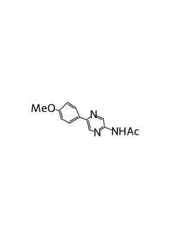 COc1ccc(-c2cnc(NC(C)=O)cn2)cc1